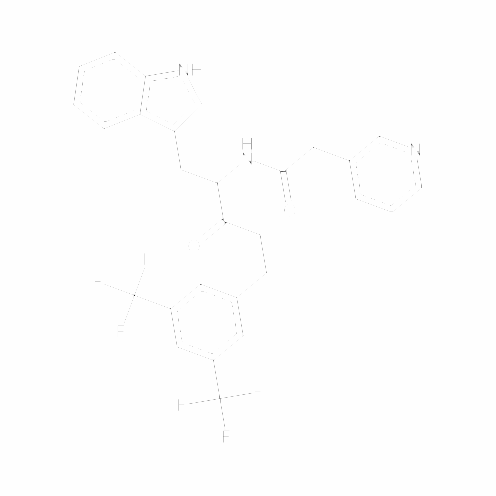 O=C(Cc1cccnc1)NC(Cc1c[nH]c2ccccc12)C(=O)CCc1cc(C(F)(F)F)cc(C(F)(F)F)c1